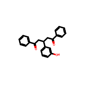 O=C(CC(CC(=O)c1ccccc1)c1cccc(O)c1)c1ccccc1